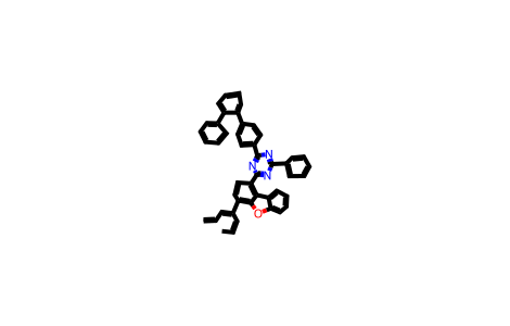 C=C/C=C(\C=C/C)c1ccc(-c2nc(-c3ccccc3)nc(-c3ccc(-c4ccccc4-c4ccccc4)cc3)n2)c2c1oc1ccccc12